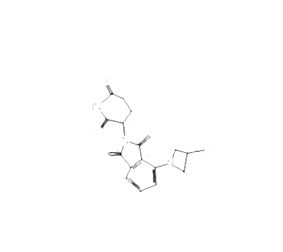 O=C1CCC(N2C(=O)c3cccc(N4CC(I)C4)c3C2=O)C(=O)N1